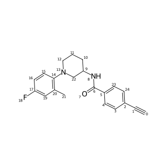 C#Cc1ccc(C(=O)NC2CCCN(c3ccc(F)cc3C)C2)cc1